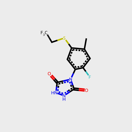 Cc1cc(F)c(-n2c(=O)[nH][nH]c2=O)cc1SCC(F)(F)F